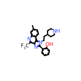 Cc1ccc2c(c1)nc(C(F)(F)F)c1nc(-c3ccccc3O)n(CCC3CCNCC3)c12